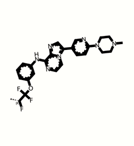 C[C@@H](F)C(F)(F)Oc1cccc(Nc2nccn3c(-c4ccc(N5CCN(C)CC5)nc4)cnc23)c1